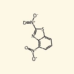 O=[N+]([O-])c1nc2c([N+](=O)[O-])cccc2s1